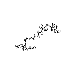 CCCCCC[C@@H](O)C/C=C\CCCCCCCC(=O)OCC(CC)CCCC